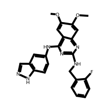 COc1cc2nc(NCc3ccccc3F)nc(Nc3ccc4[nH]ncc4c3)c2cc1OC